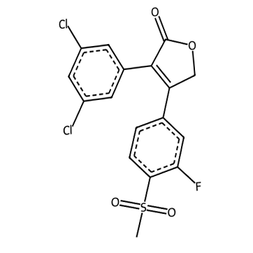 CS(=O)(=O)c1ccc(C2=C(c3cc(Cl)cc(Cl)c3)C(=O)OC2)cc1F